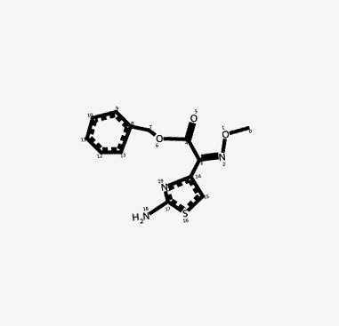 CO/N=C(\C(=O)OCc1ccccc1)c1csc(N)n1